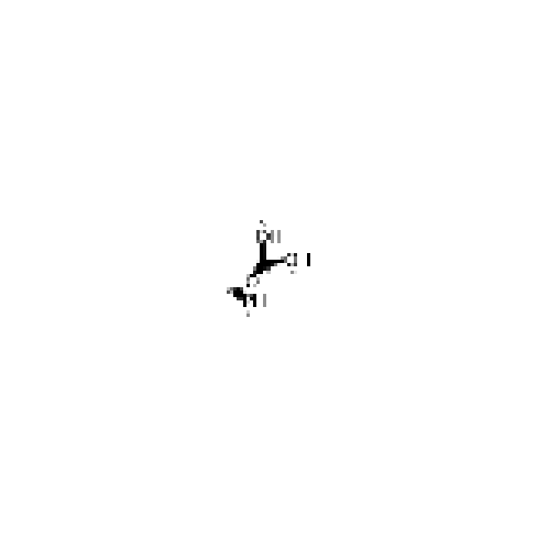 C=P.O=C(O)O